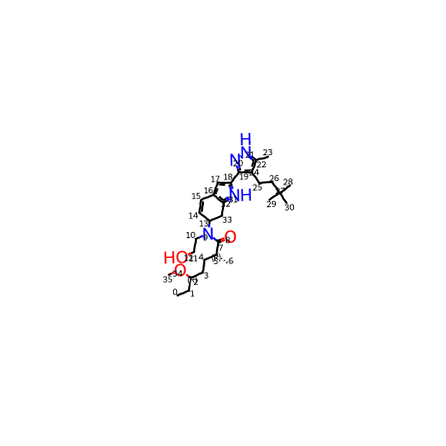 CC[C@H](CC[C@@H](C)C(=O)N(CCO)C1C=Cc2cc(-c3n[nH]c(C)c3CCC(C)(C)C)[nH]c2C1)OC